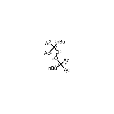 CCCCC(OOC(CCCC)(C(C)=O)C(C)=O)(C(C)=O)C(C)=O